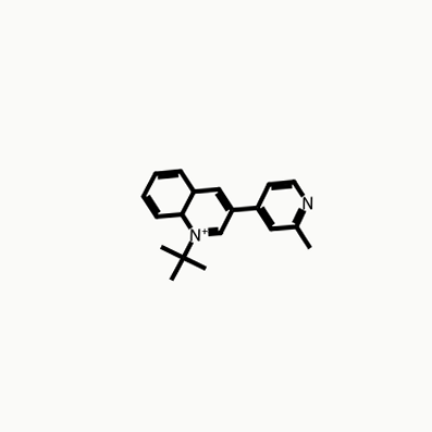 Cc1cc(C2=CC3C=CC=CC3[N+](C(C)(C)C)=C2)ccn1